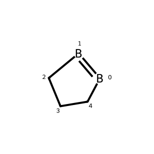 B1=BCCC1